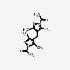 Cc1nn(C(N)=O)c(C)c1Cc1c(C)nn(C(N)=O)c1C